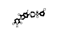 O=C1CCC(N2Cc3cc(N4CCN(S(=O)(=O)c5cccc(Cl)c5)CC4)c(F)cc3C2=O)C(=O)N1